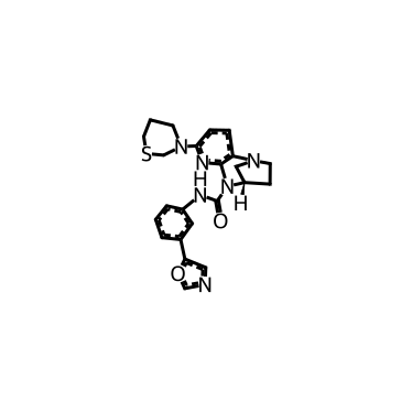 O=C(Nc1cccc(-c2cnco2)c1)N1c2nc(N3CCCSC3)ccc2N2CC[C@H]1C2